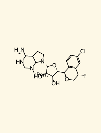 CCCCCN1CNC(N)C2CCN([C@@H]3O[C@H]([C@@H]4OC[C@@H](F)c5cc(Cl)ccc54)[C@@H](O)[C@H]3O)C21